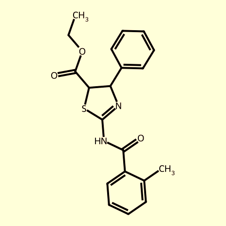 CCOC(=O)C1SC(NC(=O)c2ccccc2C)=NC1c1ccccc1